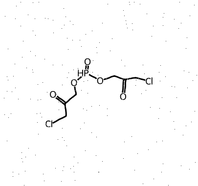 O=C(CCl)CO[PH](=O)OCC(=O)CCl